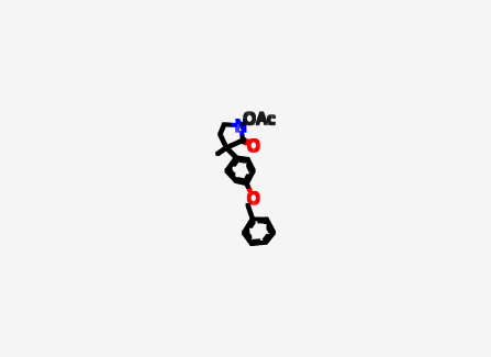 CC(=O)ON1CCC(C)(c2ccc(OCc3ccccc3)cc2)C1=O